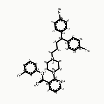 O=C(Oc1cccc(F)c1)c1cccnc1N1CCN(CCCC(c2ccc(F)cc2)c2ccc(F)cc2)CC1